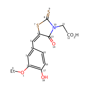 CCOc1cc(C=C2SC(=S)N(CC(=O)O)C2=O)ccc1O